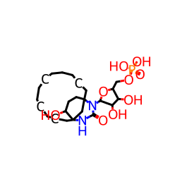 O=C1NC23CCCCCCCCCCCCC(CCC2O)(C3)N1C1OC(COP(=O)(O)O)C(O)C1O